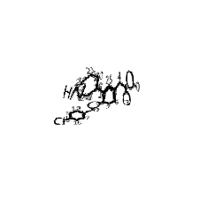 COC(=O)Cc1ccc(OCc2ccc(Cl)cc2)c(C2CCCNC2)c1